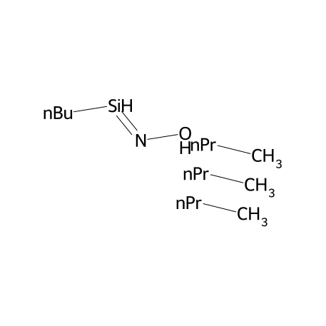 CCCC.CCCC.CCCC.CCCC[SiH]=NO